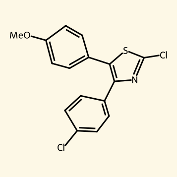 COc1ccc(-c2sc(Cl)nc2-c2ccc(Cl)cc2)cc1